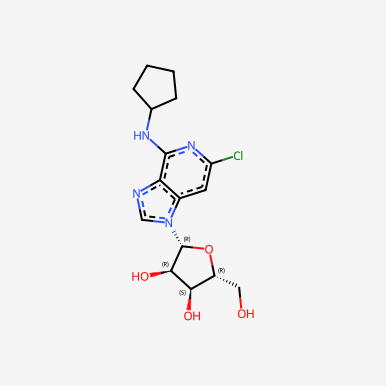 OC[C@H]1O[C@@H](n2cnc3c(NC4CCCC4)nc(Cl)cc32)[C@H](O)[C@@H]1O